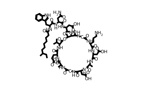 CCC(C)CCCCCCC(=O)NC(Cc1c[nH]c2ccccc12)C(=O)NC(CC(N)=O)C(=O)NC(CC(=O)O)C(=O)NC1C(=O)NCC(=O)NC(CCCN)C(=O)NC(CC(=O)O)C(=O)NC(C)C(=O)NC(CC(=O)O)C(=O)NCC(=O)NC(C)C(=O)NC(CCC(=O)O)C(=O)NC(C(C)C)C(=O)OC1C